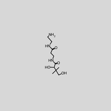 CC(C)(CO)C(O)C(=O)NCCC(=O)NCCN